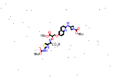 CC(C)(C)OC(=O)Nc1nc(/C(=N/OC(COc2ccc3nc(NC4CN(C(=O)OC(C)(C)C)C4)ccc3c2)C(=O)OC(C)(C)C)C(=O)O)cs1